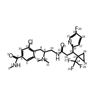 CNC(=O)c1ccc(CC(CNC(=O)CC(c2ccc(F)cn2)C2(C(F)(F)F)CC2)N(C)C)c(Cl)c1